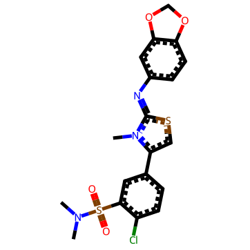 CN(C)S(=O)(=O)c1cc(-c2cs/c(=N\c3ccc4c(c3)OCO4)n2C)ccc1Cl